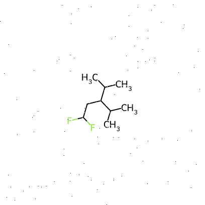 CC(C)C(CC(F)F)C(C)C